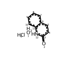 Cl.O.O=c1ccc2ccccc2[nH]1